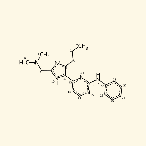 CCCc1nc(CN(C)C)[nH]c1-c1ccnc(Nc2ccccc2)n1